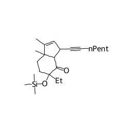 CCCCCC#CC1C=C(C)C2(C)CCC(CC)(O[Si](C)(C)C)C(=O)C12